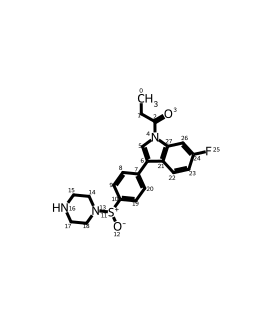 CCC(=O)n1cc(-c2ccc([S+]([O-])N3CCNCC3)cc2)c2ccc(F)cc21